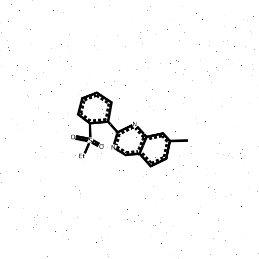 CCS(=O)(=O)c1ccccc1-c1ncc2ccc(C)cc2n1